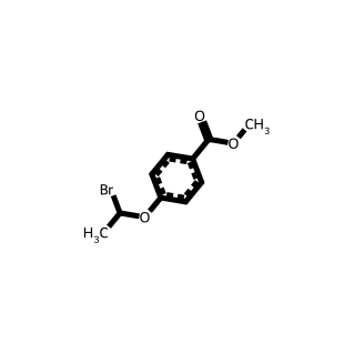 COC(=O)c1ccc(OC(C)Br)cc1